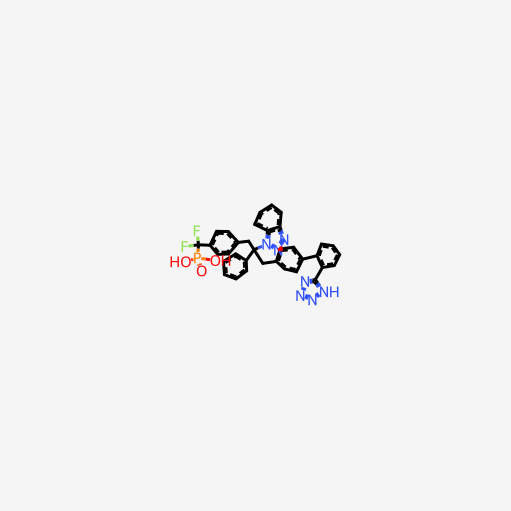 O=P(O)(O)C(F)(F)c1ccc(CC(Cc2ccc(-c3ccccc3-c3nnn[nH]3)cc2)(c2ccccc2)n2nnc3ccccc32)cc1